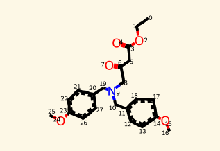 CCOC(=O)CC(=O)CN(Cc1ccc(OC)cc1)Cc1ccc(OC)cc1